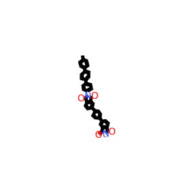 Cc1ccc(-c2ccc(-c3ccc(N4C(=O)c5ccc(-c6ccc(-c7ccc8c(c7)C(=O)N(C)C8=O)cc6)cc5C4=O)cc3)cc2)cc1